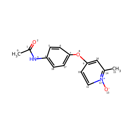 CC(=O)Nc1ccc(Oc2cc[n+]([O-])c(C)c2)cc1